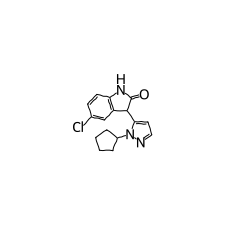 O=C1Nc2ccc(Cl)cc2C1c1ccnn1C1CCCC1